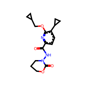 O=C(NN1CCCOC1=O)c1ccc(C2CC2)c(OCC2CC2)n1